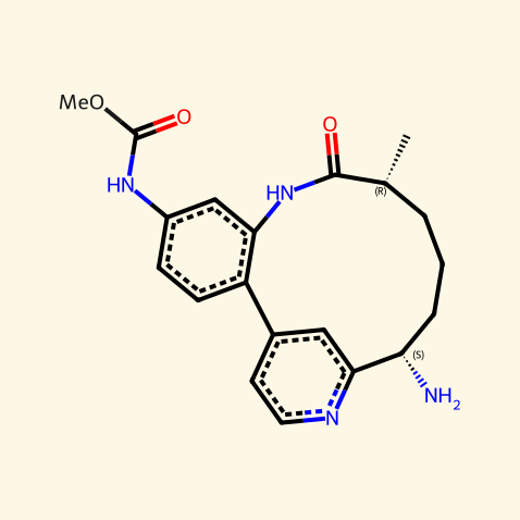 COC(=O)Nc1ccc2c(c1)NC(=O)[C@H](C)CCC[C@H](N)c1cc-2ccn1